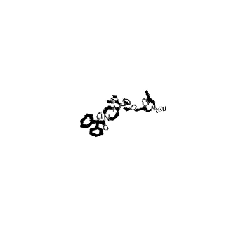 CC1CN(C(C)(C)C)CC(COCP(=O)(N(C)C)N2CCN(C(=O)C(Cl)(c3ccccc3)c3ccccc3)CC2)O1